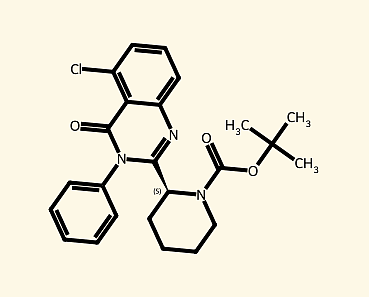 CC(C)(C)OC(=O)N1CCCC[C@H]1c1nc2cccc(Cl)c2c(=O)n1-c1ccccc1